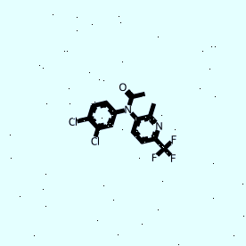 CC(=O)N(c1ccc(Cl)c(Cl)c1)c1ccc(C(F)(F)F)nc1C